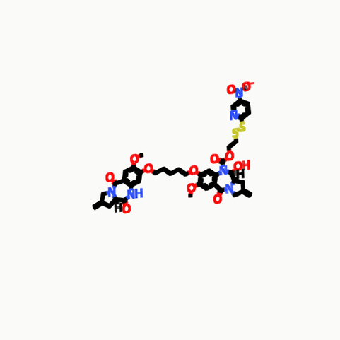 C=C1C[C@H]2C(=O)Nc3cc(OCCCCCOc4cc5c(cc4OC)C(=O)N4CC(=C)C[C@H]4[C@H](O)N5C(=O)OCCSSc4ccc([N+](=O)[O-])cn4)c(OC)cc3C(=O)N2C1